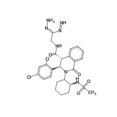 CS(=O)(=O)N[C@H]1CCCCC1N1C(=O)c2ccccc2[C@@H](C(=O)NC/C(N=N)=N/N)[C@@H]1c1ccc(Cl)cc1Cl